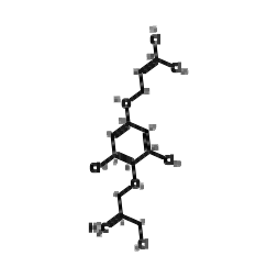 C=C(CCl)COc1c(Cl)cc(OCC=C(Cl)Cl)cc1Cl